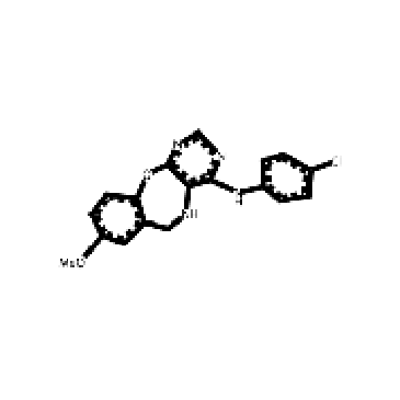 COc1ccc2c(c1)CNc1c(Nc3ccc(Cl)cc3)ncnc1O2